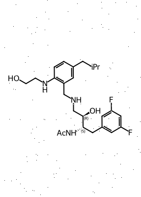 CC(=O)N[C@@H](Cc1cc(F)cc(F)c1)[C@H](O)CNCc1cc(CC(C)C)ccc1NCCO